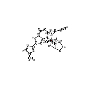 Cn1cc(-c2cc3c(N4CC5CCC(C4)N5C(=O)[C@@H]4C[C@H]4C#N)ncnn3c2)cn1